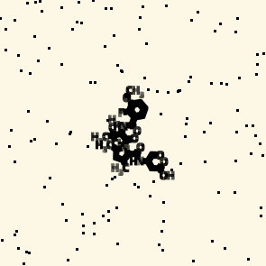 COc1cccc(C(=O)NC(C(=O)N2C(C)CC(C)C2C(=O)NC(C=O)CC(=O)O)C(C)(C)C)c1F